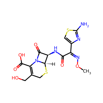 CO/N=C(\C(=O)N[C@@H]1C(=O)N2C(C(=O)O)=C(CO)CS[C@H]12)c1csc(N)n1